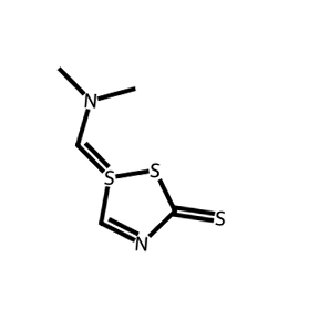 CN(C)C=S1C=NC(=S)S1